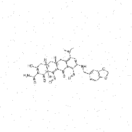 CN(C)c1cc(NCc2ccc3c(c2)OCO3)c(N=O)c2c1C[C@H]1C[C@H]3CC(O)=C(C(N)=O)C(=O)[C@@]3(O)C(N=O)=C1C2=O